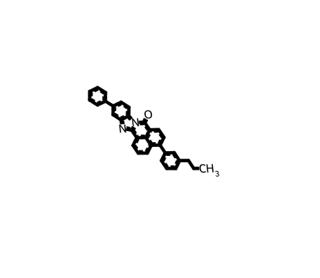 CCCc1cccc(-c2ccc3c(=O)n4c5ccc(-c6ccccc6)cc5nc4c4cccc2c34)c1